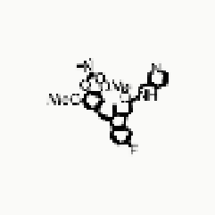 COc1cc(C=C2c3ccc(F)cc3C(CC(=O)NCc3cccnc3)C2C)cc(OC)c1OC(=O)N(C)C